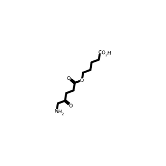 NCC(=O)CCC(=O)OCCCCC(=O)O